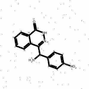 NC(c1ccc([N+](=O)[O-])cc1)c1n[nH]c(=O)c2ccccc12